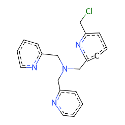 ClCc1cccc(CN(Cc2ccccn2)Cc2ccccn2)n1